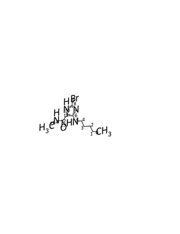 CCCCCNc1nc(Br)[nH]c1C(=O)NC